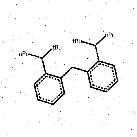 CCCC(c1ccccc1Cc1ccccc1C(CCC)C(C)(C)C)C(C)(C)C